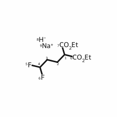 CCOC(=O)C(CCC(F)F)C(=O)OCC.[H-].[Na+]